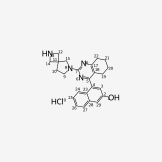 Cl.Oc1cc(-c2nc(N3CCC4(CNC4)C3)nc3c2CCCC3)c2ccccc2c1